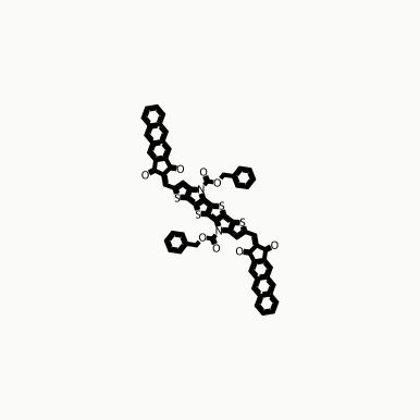 O=C1C(=Cc2cc3c(s2)c2sc4c(sc5c6sc(C=C7C(=O)c8cc9cc%10ccccc%10cc9cc8C7=O)cc6n(C(=O)OCc6ccccc6)c54)c2n3C(=O)OCc2ccccc2)C(=O)c2cc3cc4ccccc4cc3cc21